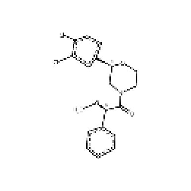 CO[C@@H](C(=O)N1CCO[C@H](c2ccc(Cl)c(Cl)c2)C1)c1ccccc1